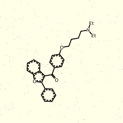 CCN(CC)CCCCOc1ccc(C(=O)c2c(-c3ccccc3)oc3ccccc23)cc1